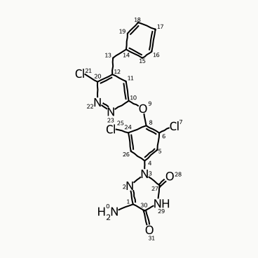 Nc1nn(-c2cc(Cl)c(Oc3cc(Cc4ccccc4)c(Cl)nn3)c(Cl)c2)c(=O)[nH]c1=O